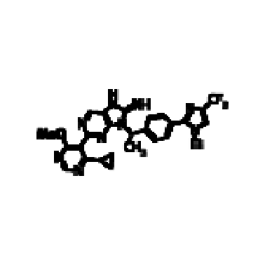 CCn1cc(C(F)(F)F)nc1-c1ccc([C@@H](C)n2c(=N)[nH]c3cnc(-c4c(OC)ncnc4C4CC4)nc32)cc1